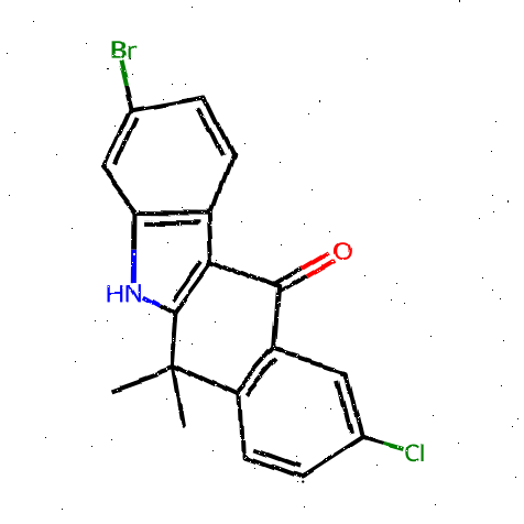 CC1(C)c2c[c]c(Cl)cc2C(=O)c2c1[nH]c1cc(Br)ccc21